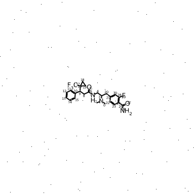 CN(C)C(CNC(=O)CC(c1ccccc1)C1(C(F)(F)F)CC1)Cc1ccc(C(N)=O)c(F)c1